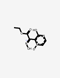 CCOC(=O)/C(=N/O)c1c(O)ncc[n+]1[O-]